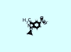 Cc1nn(C2CC2)c2ccc([N+](=O)[O-])cc12